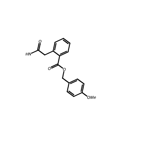 COc1ccc(COC(=O)c2ccccc2CC([NH])=O)cc1